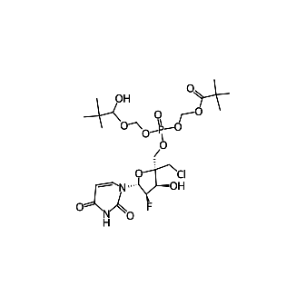 CC(C)(C)C(=O)OCOP(=O)(OCOC(O)C(C)(C)C)OC[C@@]1(CCl)O[C@@H](n2ccc(=O)[nH]c2=O)[C@H](F)[C@@H]1O